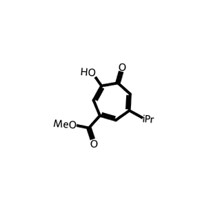 COC(=O)c1cc(C(C)C)cc(=O)c(O)c1